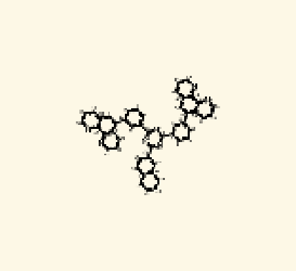 c1cc(-c2nc(-c3cccc(-c4cc5cccnc5c5ncccc45)c3)nc(-c3ccc4ccccc4c3)n2)cc(-c2cc3cccnc3c3ncccc23)c1